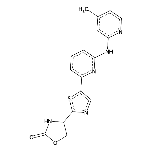 Cc1ccnc(Nc2cccc(-c3cnc(C4COC(=O)N4)s3)n2)c1